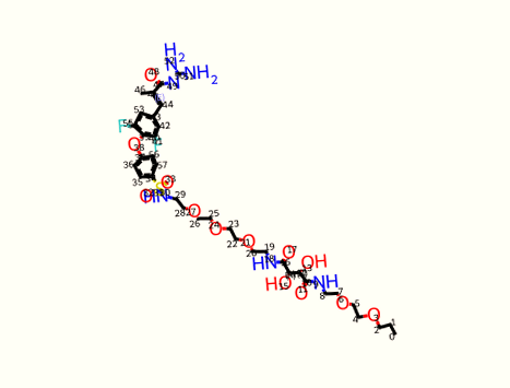 CCCOCCOCCNC(=O)[C@H](O)[C@@H](O)C(=O)NCCOCCOCCOCCNS(=O)(=O)c1ccc(Oc2c(F)cc(/C=C(\C)C(=O)N=C(N)N)cc2F)cc1